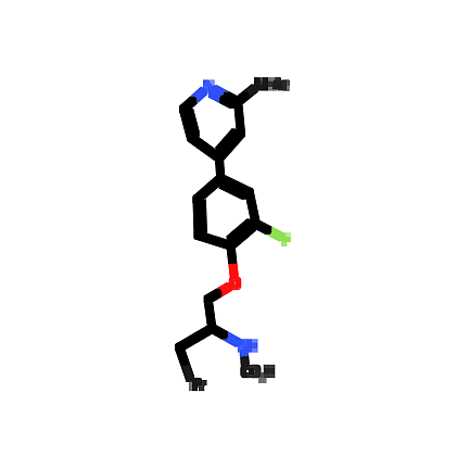 CC(=O)Nc1cc(-c2ccc(OCC(CC(C)C)NC(=O)O)c(F)c2)ccn1